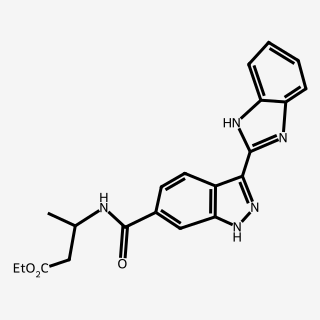 CCOC(=O)CC(C)NC(=O)c1ccc2c(-c3nc4ccccc4[nH]3)n[nH]c2c1